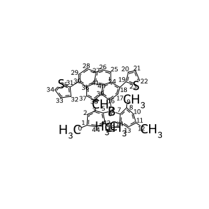 Cc1cc(C)c(B(c2c(C)cc(C)cc2C)c2cc(-c3cccs3)c3ccc4ccc(-c5cccs5)c5ccc2c3c45)c(C)c1